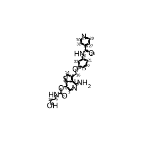 Nc1ncc(OC(=O)NCCO)c2scc(COc3cccc(NC(=O)c4ccncc4)c3)c12